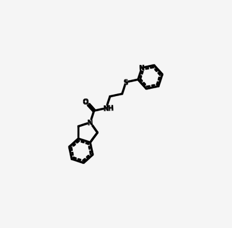 O=C(NCCSc1ccccn1)N1Cc2ccccc2C1